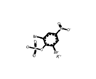 O=[N+]([O-])c1cc(Br)c(OS(=O)(=O)[O-])c(Br)c1.[K+]